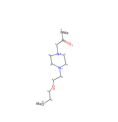 CNC(=O)CN1CCN(CCOCCOC)CC1